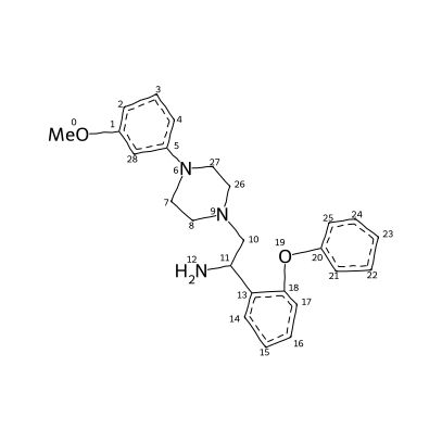 COc1cccc(N2CCN(CC(N)c3ccccc3Oc3ccccc3)CC2)c1